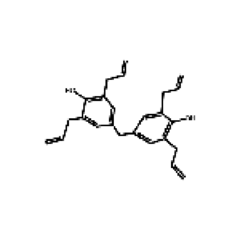 C=CCc1cc(Cc2cc(CC=C)c(O)c(CC=C)c2)cc(CC=C)c1O